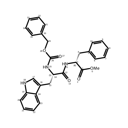 COC(=O)[C@@H](Cc1ccccc1)NC(=O)[C@H](Cc1c[nH]c2ccccc12)NC(=O)OCc1ccccc1